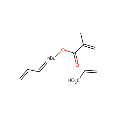 C=C(C)C(=O)OCCCC.C=CC(=O)O.C=CC=C